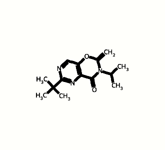 C=C1Oc2cnc(C(C)(C)C)nc2C(=O)N1C(C)C